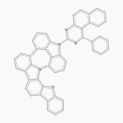 c1ccc(-c2nc(-n3c4cccc5c6cccc7c8ccc9c%10ccccc%10oc9c8n(c8cccc3c8c54)c67)nc3ccc4ccccc4c23)cc1